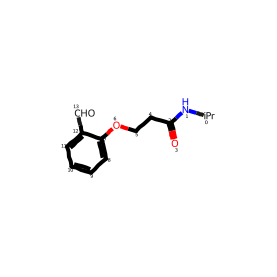 CC(C)NC(=O)CCOc1ccccc1C=O